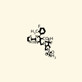 Cc1c(F)cccc1[C@@H]1N=C(c2nccs2)NC(CN2CC(F)(F)C3CN(S(N)(=O)=O)CC32)=C1C(=O)O